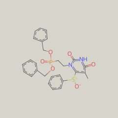 Cc1c([S+]([O-])c2ccccc2)n(CCP(=O)(OCc2ccccc2)OCc2ccccc2)c(=O)[nH]c1=O